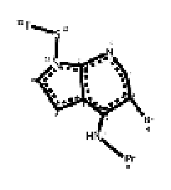 CC(C)Nc1c(Br)cnc2c1ccn2SF